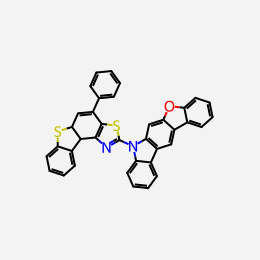 C1=C(c2ccccc2)c2sc(-n3c4ccccc4c4cc5c(cc43)oc3ccccc35)nc2C2c3ccccc3SC12